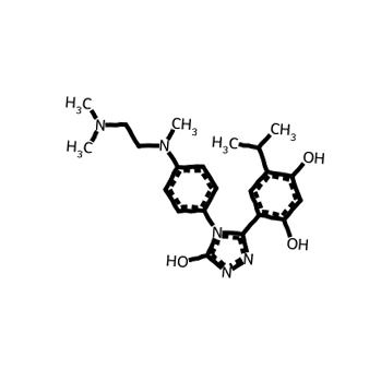 CC(C)c1cc(-c2nnc(O)n2-c2ccc(N(C)CCN(C)C)cc2)c(O)cc1O